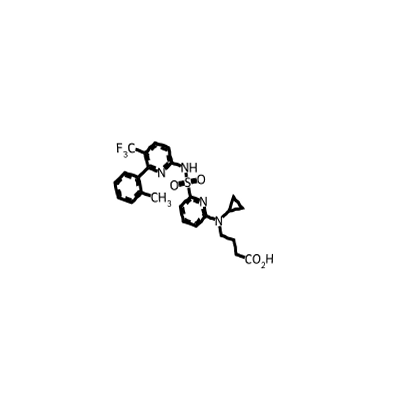 Cc1ccccc1-c1nc(NS(=O)(=O)c2cccc(N(CCCC(=O)O)C3CC3)n2)ccc1C(F)(F)F